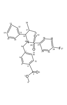 COC(=O)c1ccc(CN(C(c2ccccc2)C(C)C)S(=O)(=O)c2ccc(F)cc2)cc1